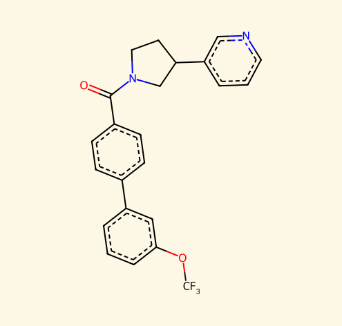 O=C(c1ccc(-c2cccc(OC(F)(F)F)c2)cc1)N1CCC(c2cccnc2)C1